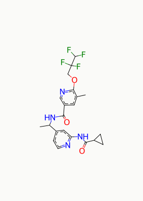 Cc1cc(C(=O)NC(C)c2ccnc(NC(=O)C3CC3)c2)cnc1OCC(F)(F)C(F)F